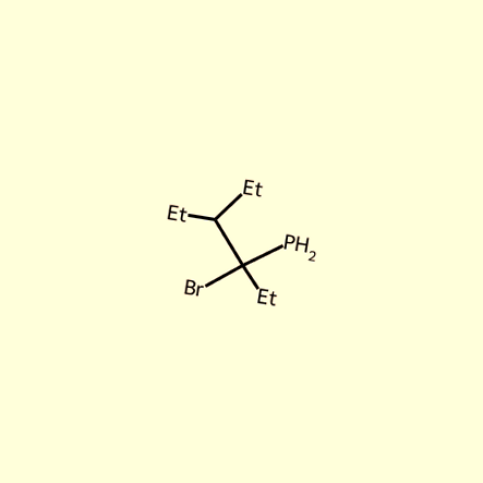 CCC(CC)C(P)(Br)CC